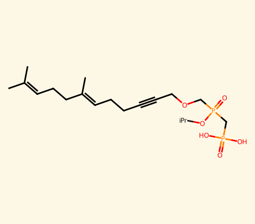 CC(C)=CCC/C(C)=C/CCC#CCOCP(=O)(CP(=O)(O)O)OC(C)C